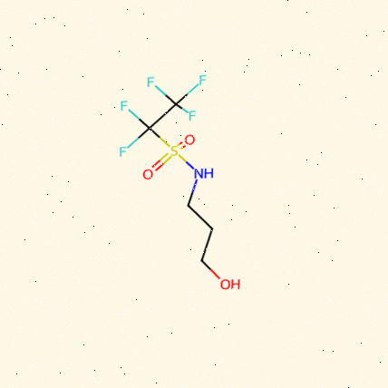 O=S(=O)(NCCCO)C(F)(F)C(F)(F)F